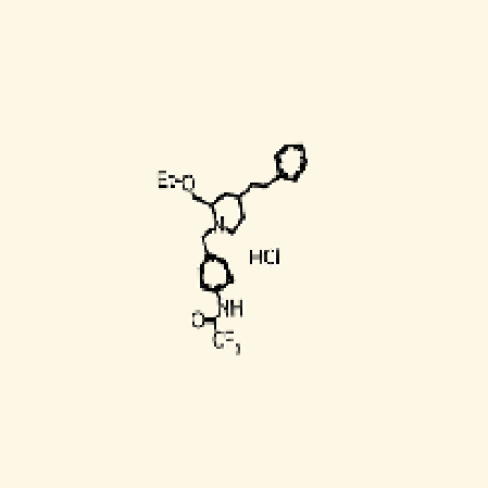 CCOCC1CC(CCc2ccccc2)CCN1Cc1ccc(NC(=O)C(F)(F)F)cc1.Cl